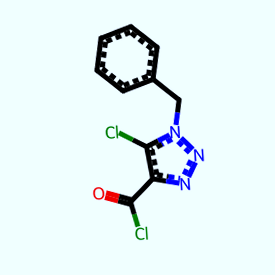 O=C(Cl)c1nnn(Cc2ccccc2)c1Cl